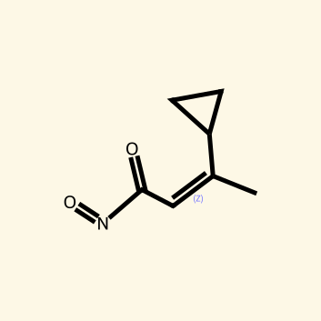 C/C(=C/C(=O)N=O)C1CC1